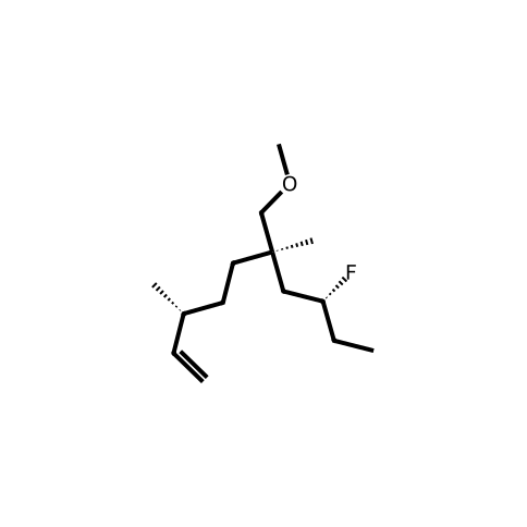 C=C[C@H](C)CC[C@@](C)(COC)C[C@H](F)CC